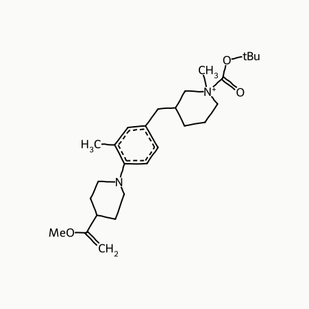 C=C(OC)C1CCN(c2ccc(CC3CCC[N+](C)(C(=O)OC(C)(C)C)C3)cc2C)CC1